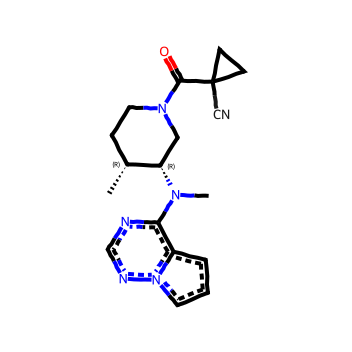 C[C@@H]1CCN(C(=O)C2(C#N)CC2)C[C@@H]1N(C)c1ncnn2cccc12